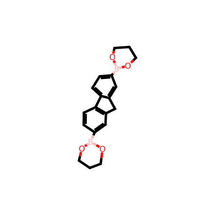 c1cc2c(cc1B1OCCCO1)Cc1cc(B3OCCCO3)ccc1-2